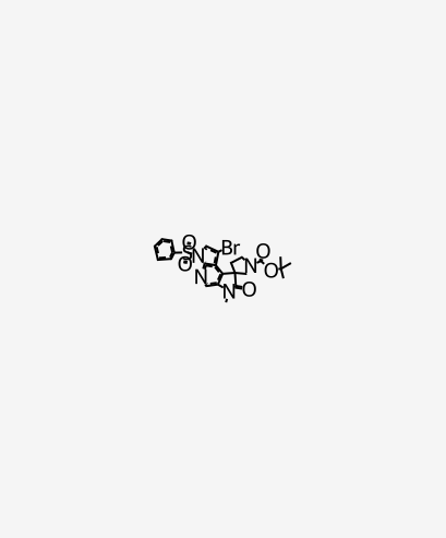 CN1C(=O)C2(CCN(C(=O)OC(C)(C)C)C2)c2c1cnc1c2c(Br)cn1S(=O)(=O)c1ccccc1